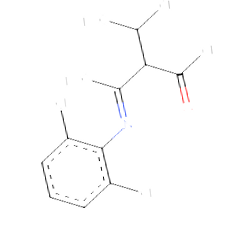 CC(=O)C(C(C)=Nc1c(C)cccc1C)C(C)C